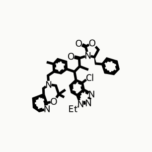 CCn1nnc2c(Cl)c(C(c3ccc(C)c(CN4Cc5cccnc5OC(C)(C)C4)c3)C(C)C(=O)N3C(=O)OC[C@H]3Cc3ccccc3)ccc21